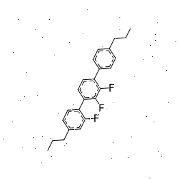 CCCc1ccc(-c2ccc(-c3ccc(CCC)cc3F)c(F)c2F)cc1